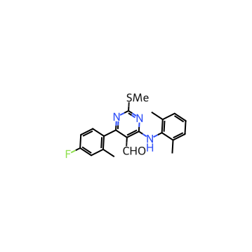 CSc1nc(Nc2c(C)cccc2C)c(C=O)c(-c2ccc(F)cc2C)n1